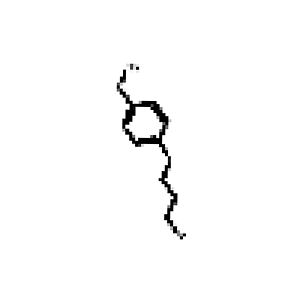 CCCSc1ccc(OCCCBr)cc1